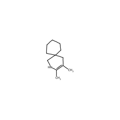 CC1=C(C)NCC2(CCCCC2)C1